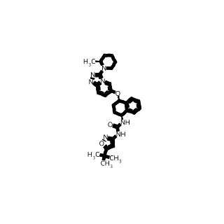 C[C@H]1CCCCN1c1nnc2ccc(O[C@@H]3CC[C@H](NC(=O)Nc4cc(C(C)(C)C)on4)c4ccccc43)cn12